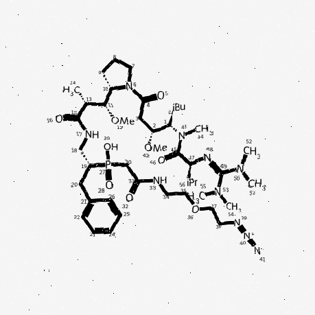 CC[C@H](C)[C@@H]([C@@H](CC(=O)N1CCC[C@H]1[C@H](OC)[C@@H](C)C(=O)NC[C@@H](Cc1ccccc1)P(=O)(O)CC(=O)NCCOCCN=[N+]=[N-])OC)N(C)C(=O)[C@@H](N=C(N(C)C)N(C)C)C(C)C